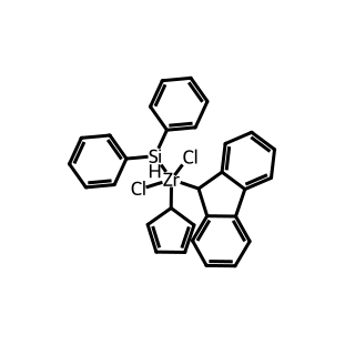 [Cl][Zr]([Cl])([CH]1C=CC=C1)([CH]1c2ccccc2-c2ccccc21)[SiH](c1ccccc1)c1ccccc1